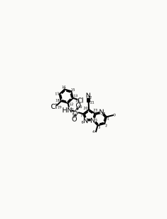 Cc1cc(C)n2nc(S(=O)(=O)Nc3c(Cl)cccc3Cl)c(C#N)c2n1